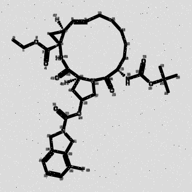 CCOC(=O)[C@@]12C[C@H]1/C=C/CCCCC[C@H](NC(=O)OC(C)(C)C)C(=O)N1CC(OC(=O)N3Cc4cccc(F)c4C3)C[C@H]1C(=O)N2